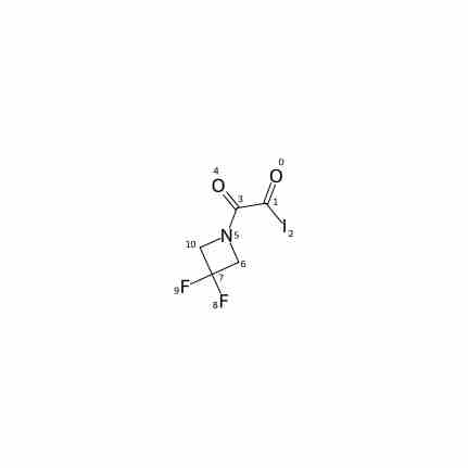 O=C(I)C(=O)N1CC(F)(F)C1